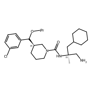 CC(C)OC(c1cccc(Cl)c1)[C@@H]1CCCN(C(=O)N[C@](C)(CN)CC2CCCCC2)C1